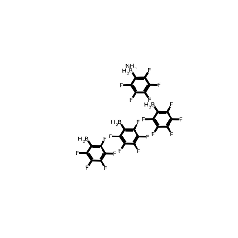 Bc1c(F)c(F)c(F)c(F)c1F.Bc1c(F)c(F)c(F)c(F)c1F.Bc1c(F)c(F)c(F)c(F)c1F.Bc1c(F)c(F)c(F)c(F)c1F.N